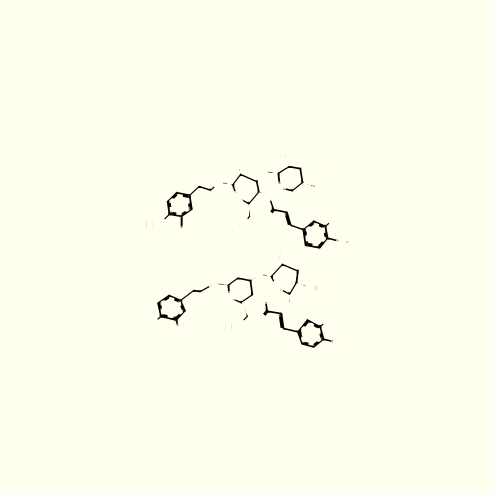 C[C@@H]1O[C@@H](O[C@@H]2[C@@H](O)[C@H](OCCc3ccc(O)c(O)c3)O[C@H](CO)[C@H]2OC(=O)/C=C/c2ccc(O)c(O)c2)[C@H](O)[C@H](O)[C@H]1O.C[C@@H]1O[C@@H](O[C@@H]2[C@@H](O)[C@H](OCCc3ccc(O)c(O)c3)O[C@H](CO)[C@H]2OC(=O)/C=C/c2ccc(O)c(O)c2)[C@H](O)[C@H](O)[C@H]1O